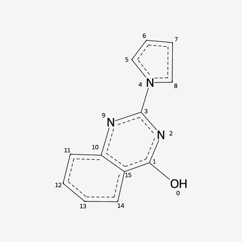 Oc1nc(-n2cccc2)nc2ccccc12